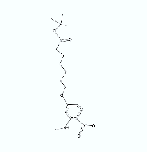 CNc1cc(OCCCCCCC(=O)OC(C)(C)C)ccc1[N+](=O)[O-]